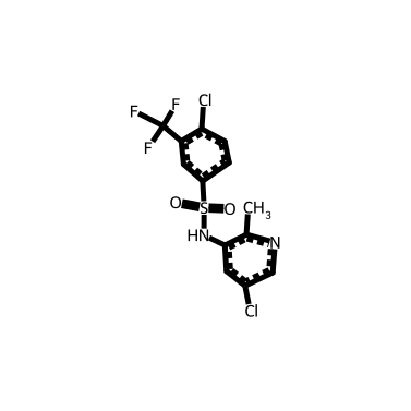 Cc1ncc(Cl)cc1NS(=O)(=O)c1ccc(Cl)c(C(F)(F)F)c1